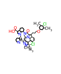 Cc1cc(OCCCC2=C3C(=O)N(c4cccc5c(C(=O)O)cn(Cc6cccnc6)c45)C[C@@H](C)N3C3C(c4c(C)nn(C)c4C)=C(Cl)C=CC23)cc(C)c1Cl